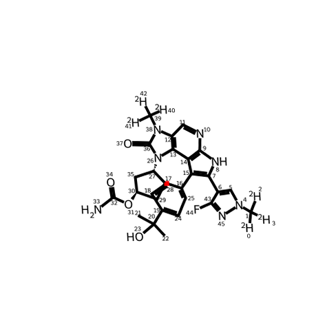 [2H]C([2H])([2H])n1cc(-c2[nH]c3ncc4c(c3c2-c2ccc(C(C)(C)O)cc2)n([C@@H]2CC[C@@H](OC(N)=O)C2)c(=O)n4C([2H])([2H])[2H])c(F)n1